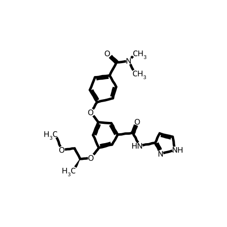 COC[C@H](C)Oc1cc(Oc2ccc(C(=O)N(C)C)cc2)cc(C(=O)Nc2cc[nH]n2)c1